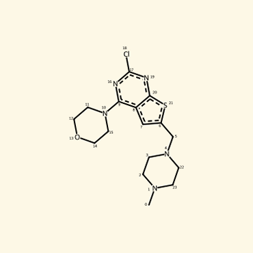 CN1CCN(Cc2cc3c(N4CCOCC4)nc(Cl)nc3s2)CC1